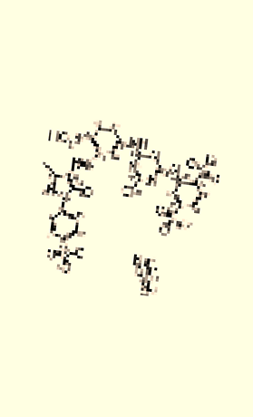 Cc1nn(-c2ccc(S(=O)(=O)[O-])cc2)c([O-])c1N=Nc1cc(Nc2nc(Cl)nc(Nc3cc(S(=O)(=O)[O-])ccc3S(=O)(=O)[O-])n2)ccc1S(=O)(=O)O.[Na+].[Na+].[Na+].[Na+]